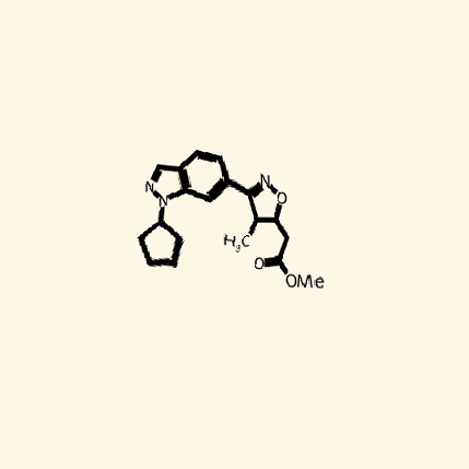 COC(=O)CC1ON=C(c2ccc3cnn(C4CCCC4)c3c2)C1C